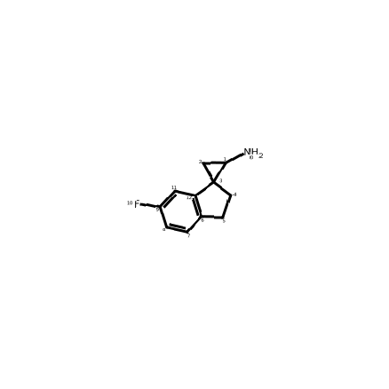 NC1CC12CCc1ccc(F)cc12